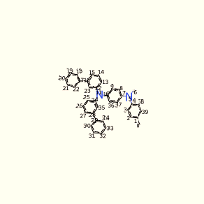 Cc1ccc(N(C)c2ccc(N(c3cccc(-c4ccccc4)c3)c3cccc(-c4ccccc4)c3)cc2)cc1